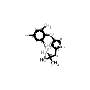 Cc1cc(F)cc(C)c1Oc1csc(CC(C)(C)O)c1